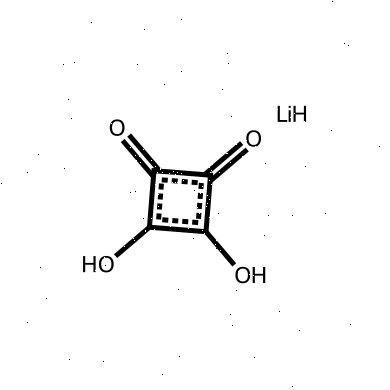 O=c1c(O)c(O)c1=O.[LiH]